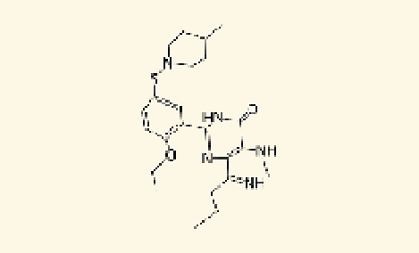 CCCC(=N)c1nc(-c2cc(SN3CCC(C)CC3)ccc2OCC)[nH]c(=O)c1NC